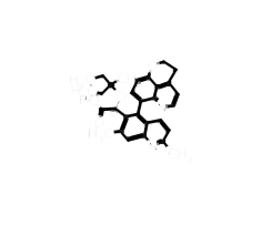 CCC(C)(CC)O[C@H](C(=O)O)c1c(C)cc2nc(C)ccc2c1-c1ccc2c3c(ccnc13)CCO2